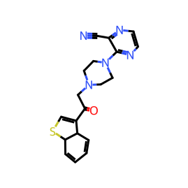 N#Cc1nccnc1N1CCN(CC(=O)C2=CSC3C=CC=CC23)CC1